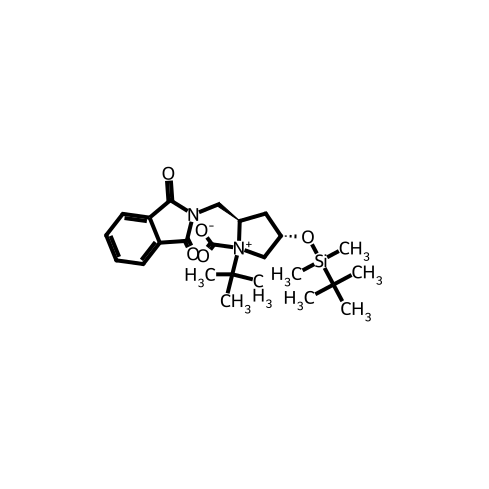 CC(C)(C)[N+]1(C(=O)[O-])C[C@@H](O[Si](C)(C)C(C)(C)C)C[C@@H]1CN1C(=O)c2ccccc2C1=O